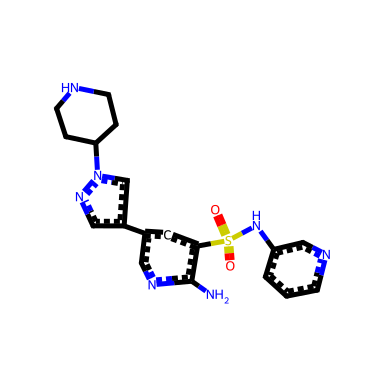 Nc1ncc(-c2cnn(C3CCNCC3)c2)cc1S(=O)(=O)Nc1cccnc1